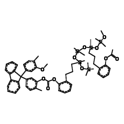 COc1cc(C2(c3ccc(C)c(OC(=O)Oc4ccccc4CCC[Si](C)(O[Si](C)(C)C)O[Si](C)(C)O[Si](C)(CCCc4ccccc4OC(C)=O)O[Si](C)(C)OC)c3)c3ccccc3-c3ccccc32)ccc1C